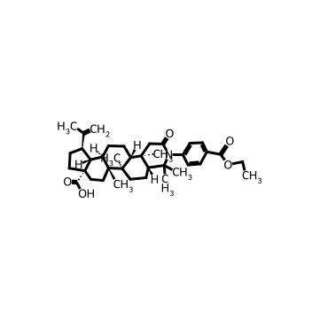 C=C(C)[C@@H]1CC[C@]2(C(=O)O)CC[C@]3(C)[C@H](CC[C@@H]4[C@@]5(C)CC(=O)N(c6ccc(C(=O)OCC)cc6)C(C)(C)[C@@H]5CC[C@]43C)[C@@H]12